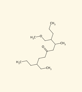 CCCC(CC)CCC(=O)CC(C)C(CCC)COC